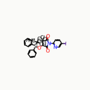 CC1(C)C(=O)N(c2ccc(I)cn2)C(=O)[C@H]1O[Si](c1ccccc1)(c1ccccc1)C(C)(C)C